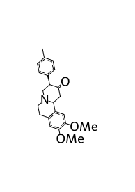 COc1cc2c(cc1OC)C1CC(=O)[C@H](c3ccc(C)cc3)CN1CC2